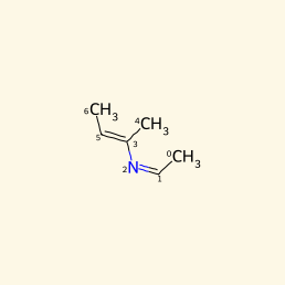 C/C=N\C(C)=C\C